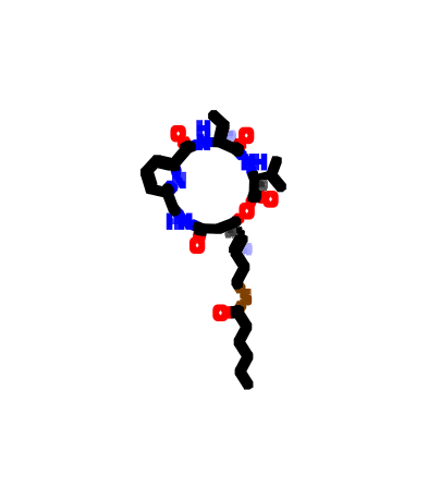 C/C=C1\NC(=O)c2cccc(n2)CNC(=O)C[C@@H](/C=C/CCSC(=O)CCCCC)OC(=O)[C@H](C(C)C)NC1=O